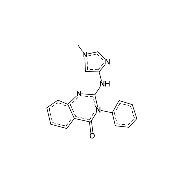 Cn1cnc(Nc2nc3ccccc3c(=O)n2-c2ccccc2)c1